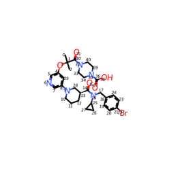 CC(C)(Oc1cncc(N2CCC[C@H](C(=O)N(Cc3ccc(Br)cc3)C3CC3)C2)c1)C(=O)N1CCN(C(=O)O)CC1